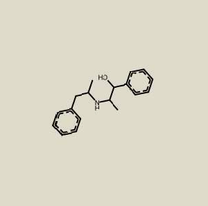 CC(Cc1ccccc1)NC(C)C(O)c1ccccc1